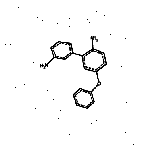 Nc1cccc(-c2cc(Oc3ccccc3)ccc2N)c1